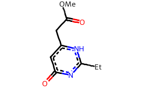 CCc1nc(=O)cc(CC(=O)OC)[nH]1